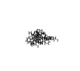 COc1cccc(-c2nnc(N(CC[Si](C)(C)C)S(=O)(=O)C(C)[C@@H](O)c3ccccc3OC)n2-c2c(OC)cccc2OC)n1